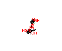 C=CC[C@]1(C)C[C@@H](OC(=O)COc2ccc3c(c2F)B(O)OC3)[C@]2(C)[C@H](C)CC[C@]3(CCC(O)[C@H]32)[C@@H](C)[C@@H]1O